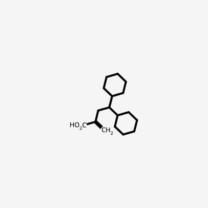 C=C(CC(C1CCCCC1)C1CCCCC1)C(=O)O